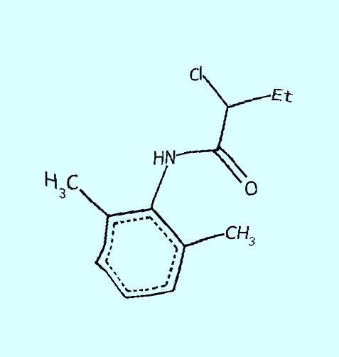 CCC(Cl)C(=O)Nc1c(C)cccc1C